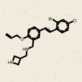 C=CCOc1ccc(/C=C/c2ccc(Cl)cc2Br)cc1CNCC1CNC1